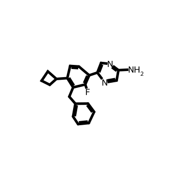 Nc1cnc(-c2ccc(C3CCC3)c(Cc3ccccc3)c2F)cn1